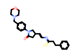 O=C1CC(/C=C/N=C(\S)CCc2ccccc2)CN1c1ccc(CN2CCOCC2)cc1